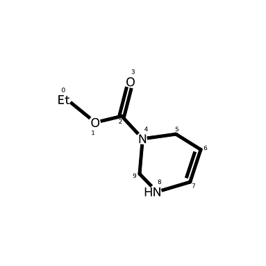 CCOC(=O)N1CC=CNC1